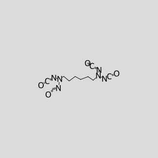 O=C=NN(CCCCCCN(N=C=O)N=C=O)N=C=O